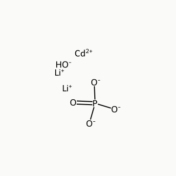 O=P([O-])([O-])[O-].[Cd+2].[Li+].[Li+].[OH-]